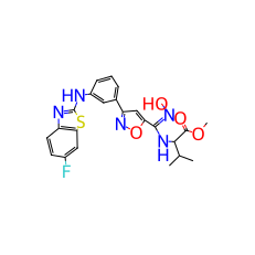 COC(=O)C(NC(=NO)c1cc(-c2cccc(Nc3nc4ccc(F)cc4s3)c2)no1)C(C)C